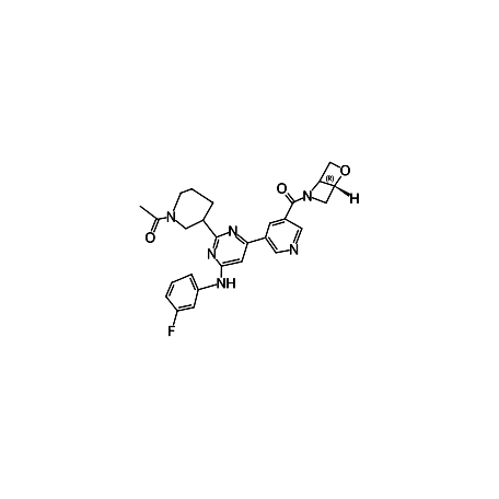 CC(=O)N1CCCC(c2nc(Nc3cccc(F)c3)cc(-c3cncc(C(=O)N4C[C@H]5OCC54)c3)n2)C1